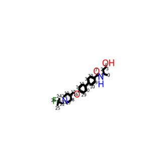 CC(CCO)NC(=O)c1ccc(-c2ccc(OCC3CCN(CC(C)(C)F)CC3)cc2)cc1